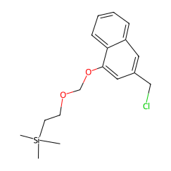 C[Si](C)(C)CCOCOc1cc(CCl)cc2ccccc12